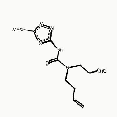 C=CCCN(CCC=O)C(=O)Nc1nnc(OC)s1